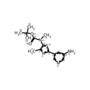 Cc1nc(-c2cncc(N)c2)sc1N(C)C(=O)OC(C)(C)C